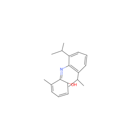 CC1=CC=CC(O)C1=Nc1c(C(C)C)cccc1C(C)C